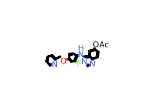 CC(=O)Oc1ccc2ncnc(Nc3ccc(OCc4ccccn4)cc3F)c2c1